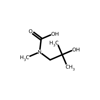 CN(CC(C)(C)O)C(=O)O